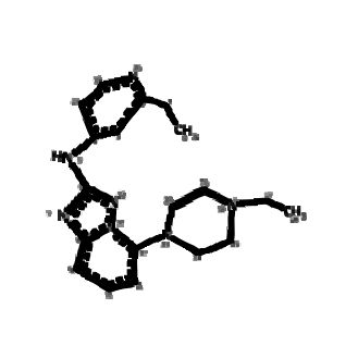 CCc1cc(Nc2nc3cccc(N4CCN(CC)CC4)n3n2)ccn1